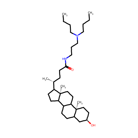 CCCCN(CCCC)CCCNC(=O)CC[C@@H](C)C1CCC2C3CCC4C[C@H](O)CC[C@]4(C)C3CC[C@@]21C